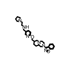 c1ccc2c(N3CCN4CC(COc5ccc(CNCCN6CCCC6)cn5)CCC4C3)noc2c1